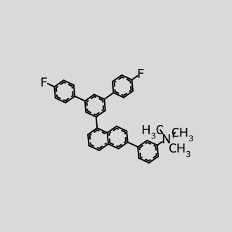 C[N+](C)(C)c1cccc(-c2ccc3c(-c4cc(-c5ccc(F)cc5)cc(-c5ccc(F)cc5)c4)cccc3c2)c1